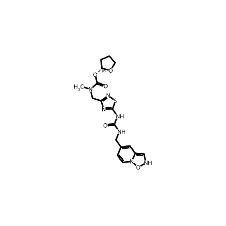 CN(Cc1nsc(NC(=O)NCC2=CC3=CNON3C=C2)n1)C(=O)O[C@@H]1CCCO1